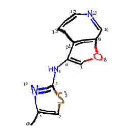 Cc1csc(Nc2coc3cnccc23)n1